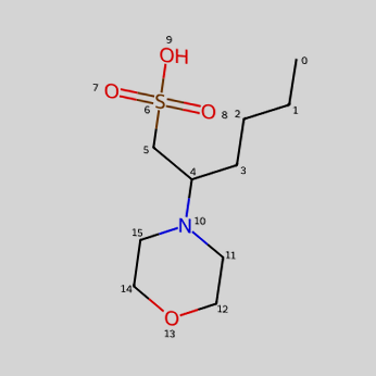 CCCCC(CS(=O)(=O)O)N1CCOCC1